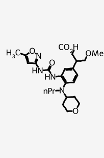 CCCN(c1ccc(C(COC)CC(=O)O)cc1NC(=O)Nc1cc(C)on1)C1CCOCC1